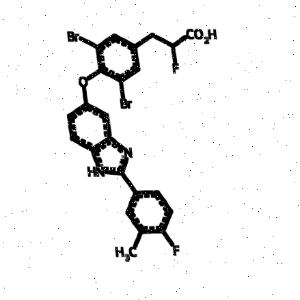 Cc1cc(-c2nc3cc(Oc4c(Br)cc(CC(F)C(=O)O)cc4Br)ccc3[nH]2)ccc1F